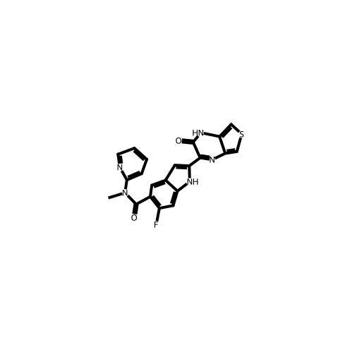 CN(C(=O)c1cc2cc(-c3nc4cscc4[nH]c3=O)[nH]c2cc1F)c1ccccn1